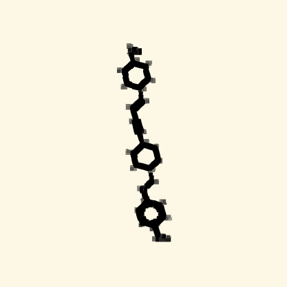 CCCCc1ccc(OC[C@H]2CC[C@H](C#C/C=C/[C@H]3CC[C@H](CCCC)CC3)CC2)cc1